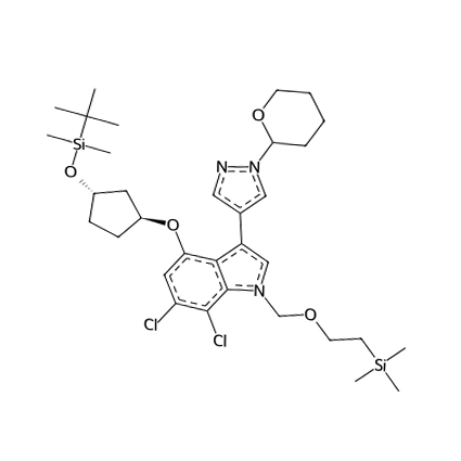 CC(C)(C)[Si](C)(C)O[C@H]1CC[C@H](Oc2cc(Cl)c(Cl)c3c2c(-c2cnn(C4CCCCO4)c2)cn3COCC[Si](C)(C)C)C1